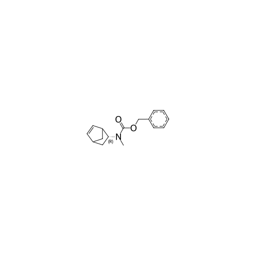 CN(C(=O)OCc1ccccc1)[C@@H]1CC2C=CC1C2